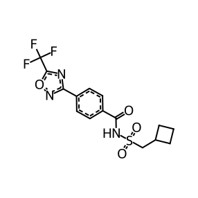 O=C(NS(=O)(=O)CC1CCC1)c1ccc(-c2noc(C(F)(F)F)n2)cc1